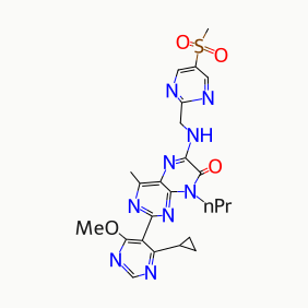 CCCn1c(=O)c(NCc2ncc(S(C)(=O)=O)cn2)nc2c(C)nc(-c3c(OC)ncnc3C3CC3)nc21